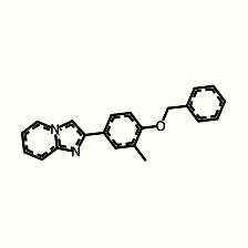 Cc1cc(-c2cn3ccccc3n2)ccc1OCc1ccccc1